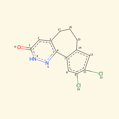 O=c1cc2c(n[nH]1)-c1cc(Cl)c(Cl)cc1CCC2